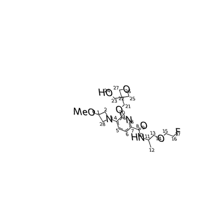 COC1CN(c2ccc(C(=O)NC(C)COCCF)nc2OCC2(CO)COC2)C1